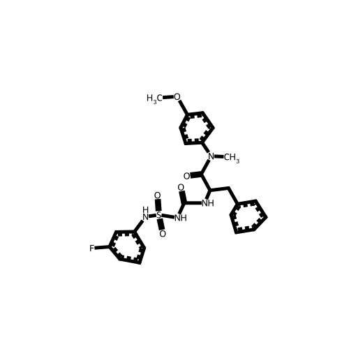 COc1ccc(N(C)C(=O)C(Cc2ccccc2)NC(=O)NS(=O)(=O)Nc2cccc(F)c2)cc1